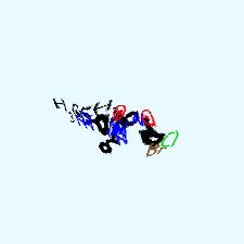 Cc1nnc(-c2ccc(-n3c(=O)c4c(n5ncc(Cc6ccccc6)c35)CN(C(=O)c3ccc(Br)c(Cl)c3)CC4)cc2)n1C